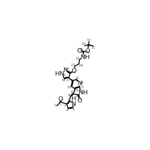 CC(=O)c1cc[nH]c1/C=C1\C(=O)Nc2ncc(-c3c[nH]nc3OCCCNC(=O)OC(C)(C)C)cc21